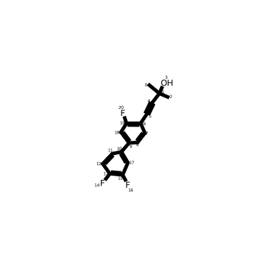 CC(C)(O)C#Cc1ccc(-c2ccc(F)c(F)c2)cc1F